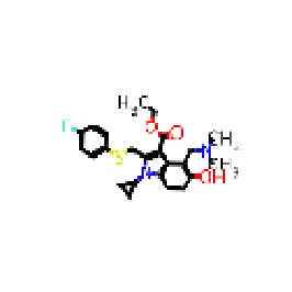 CCOC(=O)c1c(CSc2ccc(F)cc2)n(C2CC2)c2ccc(O)c(CN(C)C)c12